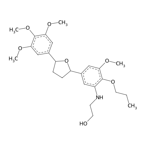 CCCOc1c(NCCO)cc(C2CCC(c3cc(OC)c(OC)c(OC)c3)O2)cc1OC